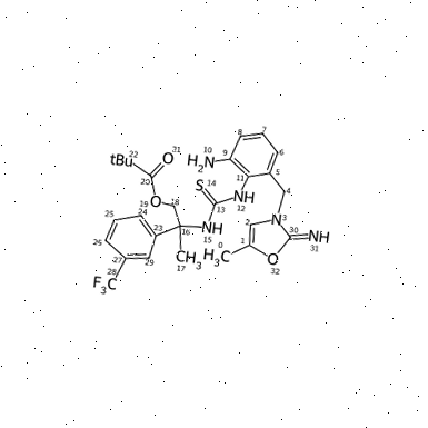 Cc1cn(Cc2cccc(N)c2NC(=S)NC(C)(COC(=O)C(C)(C)C)c2cccc(C(F)(F)F)c2)c(=N)o1